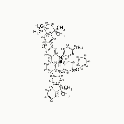 CC(C)(C)c1ccc(Nc2cc3c(cc2-c2ccc4c5cc6c(cc5n5c4c2Bc2cc4c(cc2-5)oc2ccccc24)C(C)(C)c2ccccc2-6)oc2cc4c(cc23)C(C)(C)CCC4(C)C)cc1